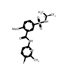 COc1ccc(S(=O)(=O)N[C@@H](C)C(F)(F)F)cc1C(=O)Nc1ccc(F)c(C)n1